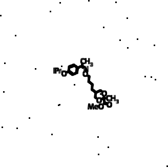 COC(=O)C1(C)OCC(CCCCON=C(C)c2ccc(OC(C)C)cc2)CO1